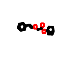 O=C(COC=Cc1ccccc1)OC12CCC(CC1)C2